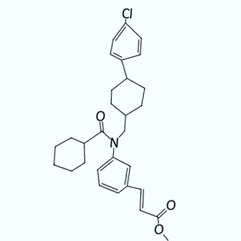 COC(=O)C=Cc1cccc(N(CC2CCC(c3ccc(Cl)cc3)CC2)C(=O)C2CCCCC2)c1